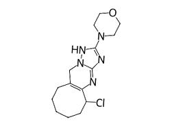 ClC1CCCCCC2=C1N=C1N=C(N3CCOCC3)NN1C2